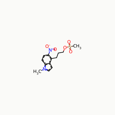 Cn1ccc2c(CCCOS(C)(=O)=O)c([N+](=O)[O-])ccc21